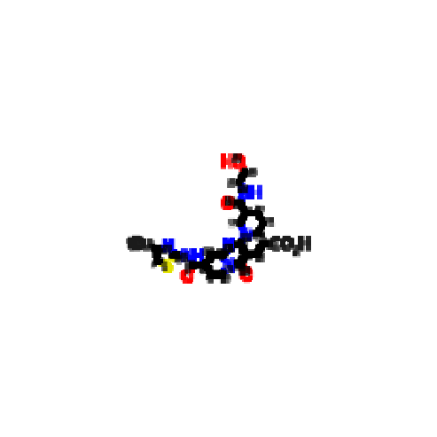 CC(C)(C)c1csc(NC(=O)c2ccn3c(=O)c(/C=C/C(=O)O)c(N4CCCC(C(=O)NCCO)C4)nc3c2)n1